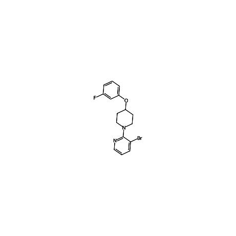 Fc1cccc(OC2CCN(c3ncccc3Br)CC2)c1